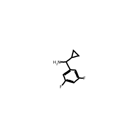 NC(c1cc(F)cc(F)c1)C1CC1